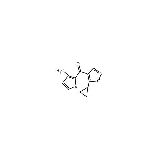 Cc1ccsc1C(=O)c1cnoc1C1CC1